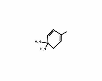 CC1=CCC(N)(N)C=C1